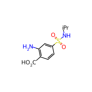 CC(C)NS(=O)(=O)c1ccc(C(=O)O)c(N)c1